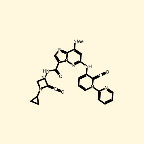 CNc1cc(NC2=CC=CN(c3ccccn3)C2=C=O)nn2c(C(=O)N[C@@H]3CN(C4CC4)C3=C=O)cnc12